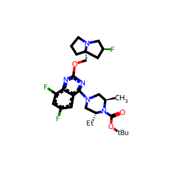 CC[C@@H]1CN(c2nc(OC[C@]34CCCN3C[C@@H](F)C4)nc3c(F)cc(F)cc23)C[C@@H](C)N1C(=O)OC(C)(C)C